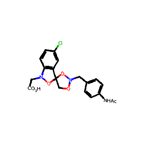 CC(=O)Nc1ccc(CN2OCC3(O2)ON(CC(=O)O)c2ccc(Cl)cc23)cc1